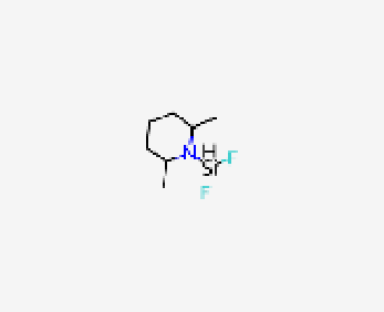 CC1CCCC(C)N1[SiH](F)F